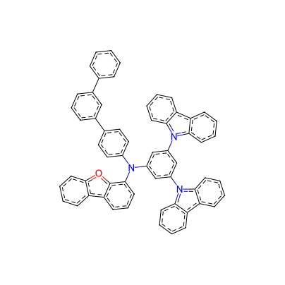 c1ccc(-c2cccc(-c3ccc(N(c4cc(-n5c6ccccc6c6ccccc65)cc(-n5c6ccccc6c6ccccc65)c4)c4cccc5c4oc4ccccc45)cc3)c2)cc1